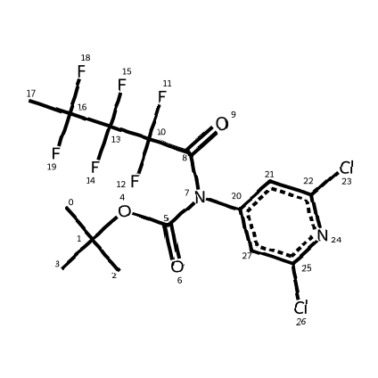 CC(C)(C)OC(=O)N(C(=O)C(F)(F)C(F)(F)C(C)(F)F)c1cc(Cl)nc(Cl)c1